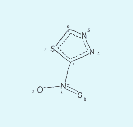 O=[N+]([O-])c1nn[c]s1